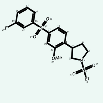 CCS(=O)(=O)N1CCC(c2ccc(S(=O)(=O)c3cccc(F)c3)cc2OC)C1